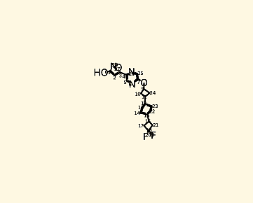 Oc1cc(-c2cnc(OC3CC(c4ccc(C5CC(F)(F)C5)cc4)C3)cn2)on1